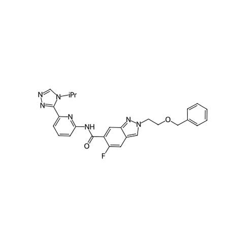 CC(C)n1cnnc1-c1cccc(NC(=O)c2cc3nn(CCOCc4ccccc4)cc3cc2F)n1